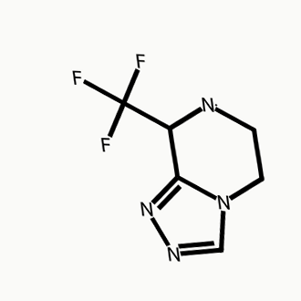 FC(F)(F)C1[N]CCn2cnnc21